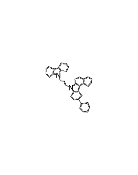 C(=C\n1c2ccc(-c3ccccc3)cc2c2c3ccccc3ccc21)/Cn1c2ccccc2c2ccccc21